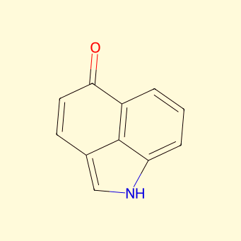 O=C1C=Cc2c[nH]c3cccc1c23